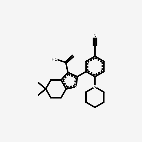 C=C(O)c1c(-c2cc(C#N)ccc2N2CCCCC2)sc2c1CC(C)(C)CC2